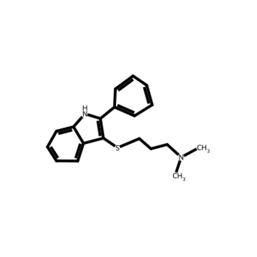 CN(C)CCCSc1c(-c2ccccc2)[nH]c2ccccc12